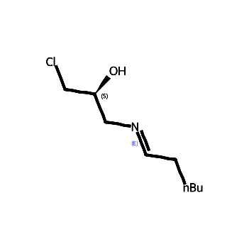 CCCCC/C=N/C[C@H](O)CCl